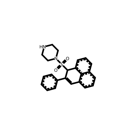 O=S(=O)(C1C(c2ccccc2)=Cc2cccc3cccc1c23)N1CCNCC1